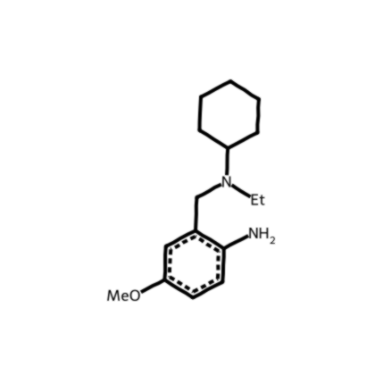 CCN(Cc1cc(OC)ccc1N)C1CCCCC1